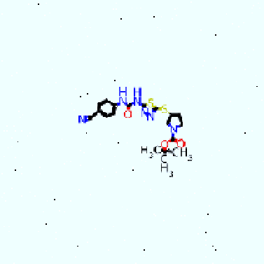 CC(C)(C)OC(=O)N1CC[C@@H](Sc2nnc(NC(=O)Nc3ccc(C#N)cc3)s2)C1